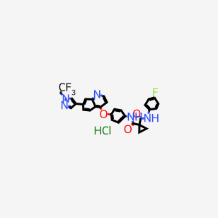 Cl.O=C(Nc1ccc(F)cc1)C1(C(=O)Nc2ccc(Oc3ccnc4cc(-c5cnn(CC(F)(F)F)c5)ccc34)cc2)CC1